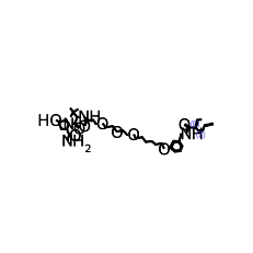 C=C/C=C\C(=C/C)C(=O)NCc1cccc(OCCCCCCOCCOCCOCCC(=O)NC(C(=O)N2CC(O)CC2C(N)=O)C(C)(C)C)c1